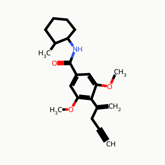 C#CCC(=C)c1c(OC)cc(C(=O)NC2CCCCC2C)cc1OC